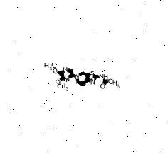 COc1ncc(N2CCc3nc(NC(C)=O)sc3C2)nc1OC